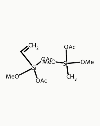 C=C[Si](OC)(OC(C)=O)OC(C)=O.CO[Si](C)(OC)OC(C)=O